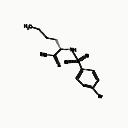 CCCC[C@H](NS(=O)(=O)c1ccc(Br)cc1)C(O)=S